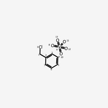 ClCc1ccccc1.[O]=[V](=[O])(=[O])(=[O])=[O]